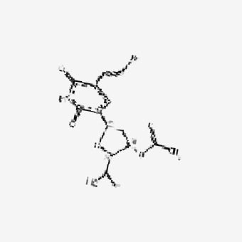 CC(=O)O[C@H]1C[C@H](n2cc(C=CBr)c(=O)[nH]c2=O)O[C@@H]1C(O)F